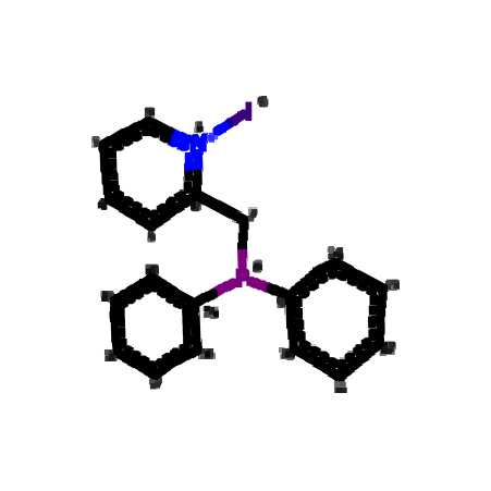 I[n+]1ccccc1CP(c1ccccc1)c1ccccc1